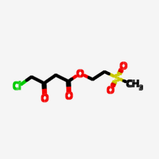 CS(=O)(=O)CCOC(=O)CC(=O)CCl